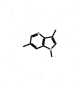 Cc1cnc2c(C)cn(C)c2c1